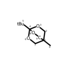 CC12COC(C(C)(C)C)(OC1)OC2